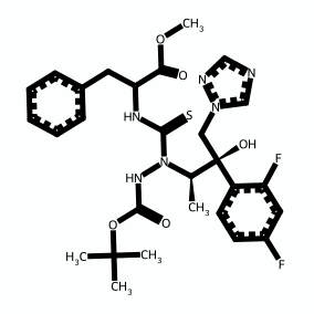 COC(=O)C(Cc1ccccc1)NC(=S)N(NC(=O)OC(C)(C)C)[C@H](C)[C@](O)(Cn1cncn1)c1ccc(F)cc1F